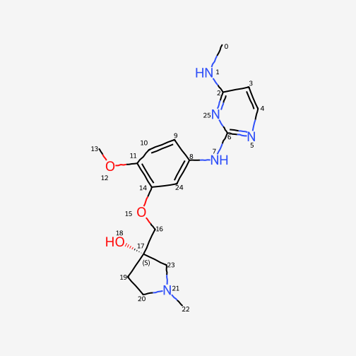 CNc1ccnc(Nc2ccc(OC)c(OC[C@]3(O)CCN(C)C3)c2)n1